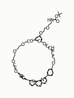 C[C@@H]1CCCOc2ccc(cc2)-c2ccc3ccc4ccc(nc4c3n2)-c2ccc(cc2)OCCOCCOCCOCCOc2cc(OCCOCCNC(=O)OC(C)(C)C)cc(c2)OCC1